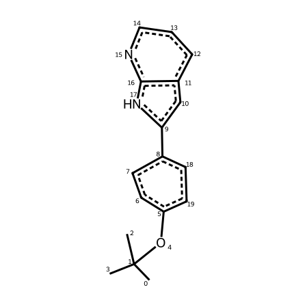 CC(C)(C)Oc1ccc(-c2cc3cccnc3[nH]2)cc1